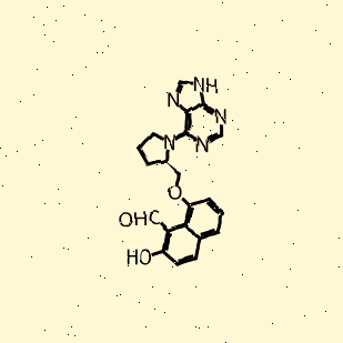 O=Cc1c(O)ccc2cccc(OC[C@H]3CCCN3c3ncnc4[nH]cnc34)c12